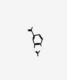 O=C(O)c1ccc2oc(Br)nc2c1